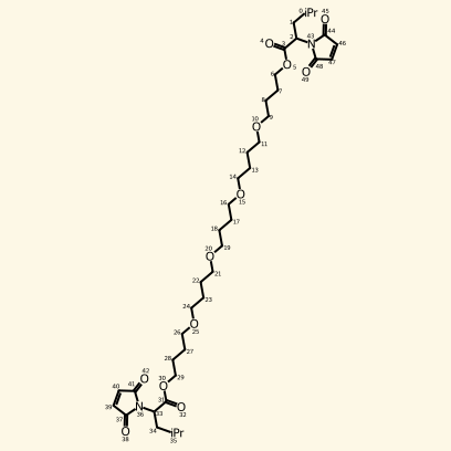 CC(C)CC(C(=O)OCCCCOCCCCOCCCCOCCCCOCCCCOC(=O)C(CC(C)C)N1C(=O)C=CC1=O)N1C(=O)C=CC1=O